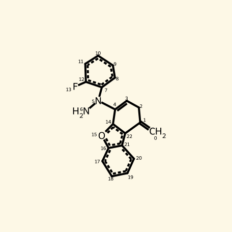 C=C1CC=C(N(N)c2ccccc2F)c2oc3ccccc3c21